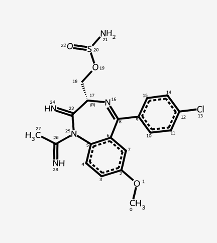 COc1ccc2c(c1)C(c1ccc(Cl)cc1)=N[C@@H](COS(N)=O)C(=N)N2C(C)=N